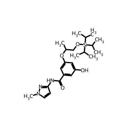 CC(CO[Si](C(C)C)(C(C)C)C(C)C)Oc1cc(O)cc(C(=O)Nc2ccn(C)n2)c1